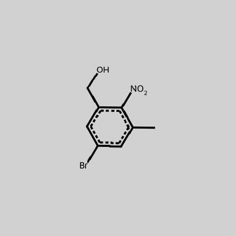 Cc1cc(Br)cc(CO)c1[N+](=O)[O-]